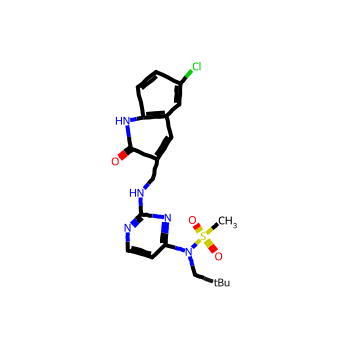 CC(C)(C)CN(c1ccnc(NCc2cc3cc(Cl)ccc3[nH]c2=O)n1)S(C)(=O)=O